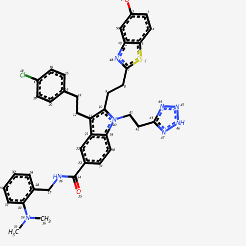 COc1ccc2sc(CCc3c(CCc4ccc(Cl)cc4)c4cc(C(=O)NCc5ccccc5N(C)C)ccc4n3CCc3nn[nH]n3)nc2c1